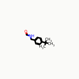 CC(C)(C)c1ccc(CNC=O)cc1